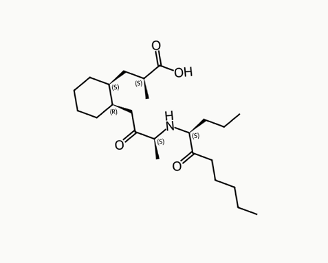 CCCCCC(=O)[C@H](CCC)N[C@@H](C)C(=O)C[C@H]1CCCC[C@H]1C[C@H](C)C(=O)O